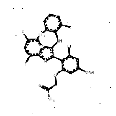 CCc1cc(OC)cc(OCC(N)=O)c1-c1nc2c(F)cc(F)c(N)n2c1Nc1c(C)cccc1C